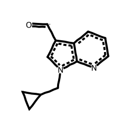 O=[C]c1cn(CC2CC2)c2ncccc12